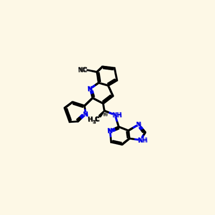 C[C@H](Nc1nccc2[nH]cnc12)c1cc2cccc(C#N)c2nc1-c1ccccn1